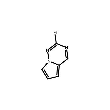 CCc1ncc2cccn2n1